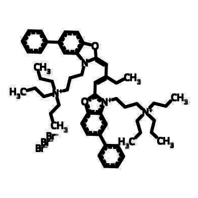 CCC[N+](CCC)(CCC)CCCN1C(=CC(=Cc2oc3ccc(-c4ccccc4)cc3[n+]2CCC[N+](CCC)(CCC)CCC)CC)Oc2ccc(-c3ccccc3)cc21.[Br-].[Br-].[Br-]